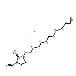 C=CC1CCN(CCCCCCCCCCCCBr)C1=O